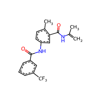 C=C(C)NC(=O)c1cc(NC(=O)c2cccc(C(F)(F)F)c2)ccc1C